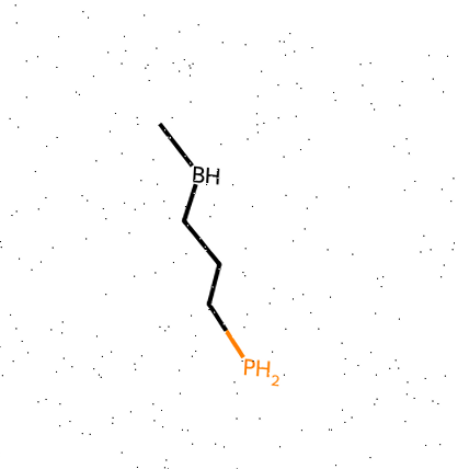 CBCCCP